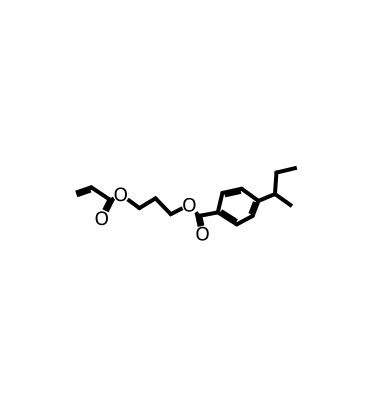 C=CC(=O)OCCCOC(=O)c1ccc(C(C)CC)cc1